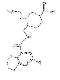 CCOC1CN(C(=O)O)CCC1CNC(=O)c1cc(Cl)cc2c1OCCO2